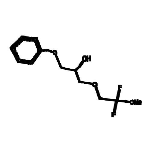 COC(F)(F)COCC(O)COc1ccccc1